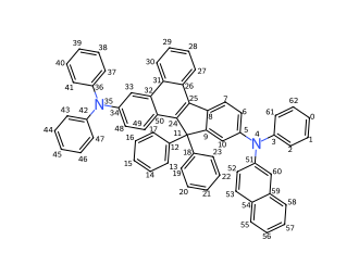 c1ccc(N(c2ccc3c(c2)C(c2ccccc2)(c2ccccc2)c2c-3c3ccccc3c3cc(N(c4ccccc4)c4ccccc4)ccc23)c2ccc3ccccc3c2)cc1